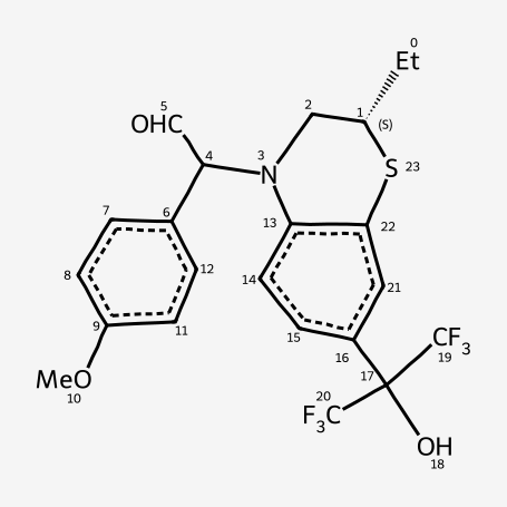 CC[C@H]1CN(C(C=O)c2ccc(OC)cc2)c2ccc(C(O)(C(F)(F)F)C(F)(F)F)cc2S1